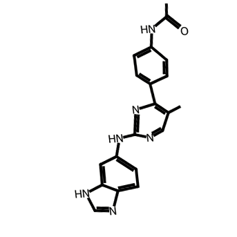 CC(=O)Nc1ccc(-c2nc(Nc3ccc4nc[nH]c4c3)ncc2C)cc1